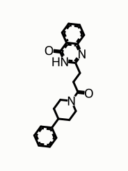 O=C(CCc1nc2ccccc2c(=O)[nH]1)N1CCC(c2ccccc2)CC1